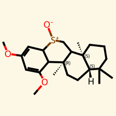 COC1=CC2C(C(OC)=C1)[C@]1(C)CC[C@H]3C(C)(C)CCC[C@]3(C)C1C[S+]2[O-]